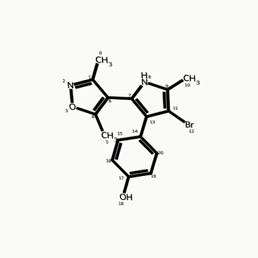 Cc1noc(C)c1-c1[nH]c(C)c(Br)c1-c1ccc(O)cc1